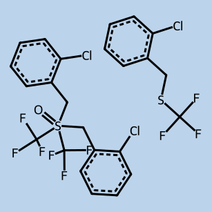 FC(F)(F)SCc1ccccc1Cl.O=S(Cc1ccccc1Cl)(Cc1ccccc1Cl)(C(F)(F)F)C(F)(F)F